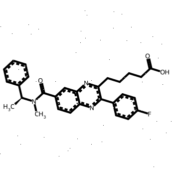 C[C@@H](c1ccccc1)N(C)C(=O)c1ccc2nc(-c3ccc(F)cc3)c(CCCCC(=O)O)nc2c1